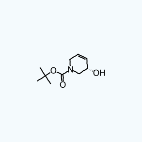 CC(C)(C)OC(=O)N1CC=C[C@H](O)C1